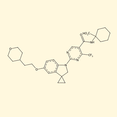 O=C(NC1(C(=O)O)CCCCC1)c1cnc(N2CC3(CC3)c3cc(OCCC4CCOCC4)ccc32)nc1C(F)(F)F